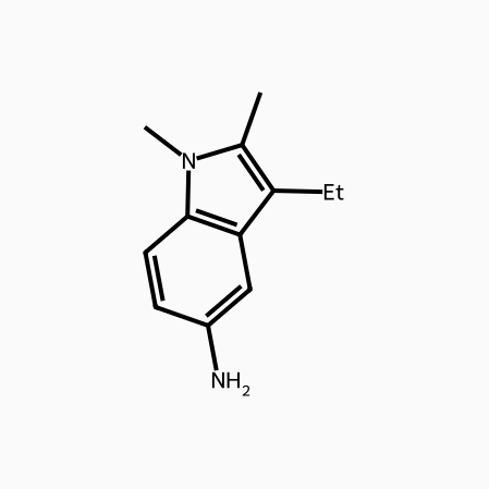 CCc1c(C)n(C)c2ccc(N)cc12